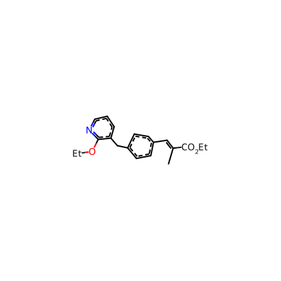 CCOC(=O)/C(C)=C/c1ccc(Cc2cccnc2OCC)cc1